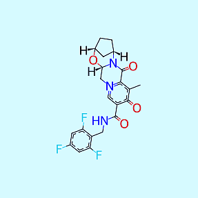 Cc1c2n(cc(C(=O)NCc3c(F)cc(F)cc3F)c1=O)C[C@@H]1O[C@@H]3CC[C@@H](C3)N1C2=O